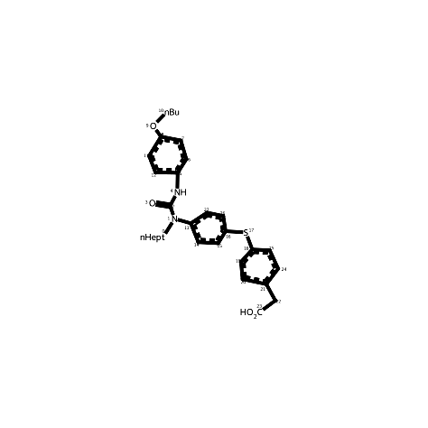 CCCCCCCN(C(=O)Nc1ccc(OCCCC)cc1)c1ccc(Sc2ccc(CC(=O)O)cc2)cc1